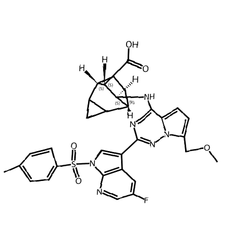 COCc1ccc2c(N[C@@H]3[C@@H](C(=O)O)[C@H]4CC[C@@H]3C3CC34)nc(-c3cn(S(=O)(=O)c4ccc(C)cc4)c4ncc(F)cc34)nn12